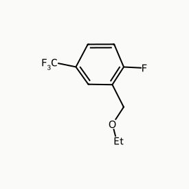 [CH2]COCc1cc(C(F)(F)F)ccc1F